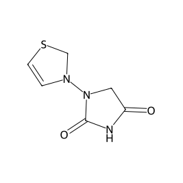 O=C1CN(N2C=CSC2)C(=O)N1